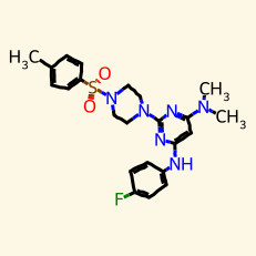 Cc1ccc(S(=O)(=O)N2CCN(c3nc(Nc4ccc(F)cc4)cc(N(C)C)n3)CC2)cc1